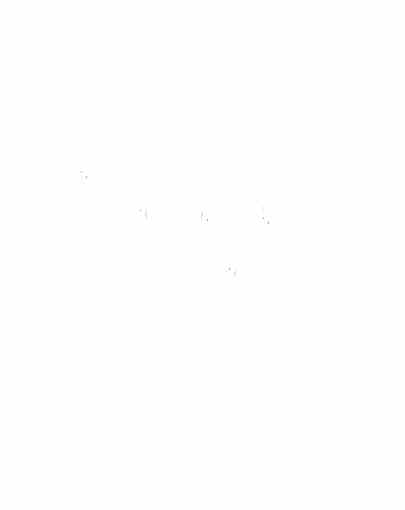 CCC(=O)N1CCN(c2cc(-c3ccccc3)nc(NS(=O)(=O)c3ccccc3)n2)CC1